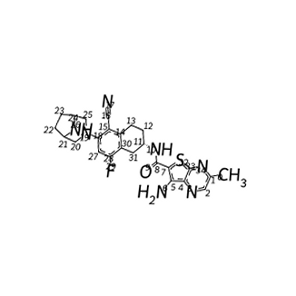 Cc1cnc2c(N)c(C(=O)N[C@H]3CCc4c(C#N)c(N5CC6CCC(C5)N6)cc(F)c4C3)sc2n1